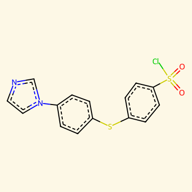 O=S(=O)(Cl)c1ccc(Sc2ccc(-n3ccnc3)cc2)cc1